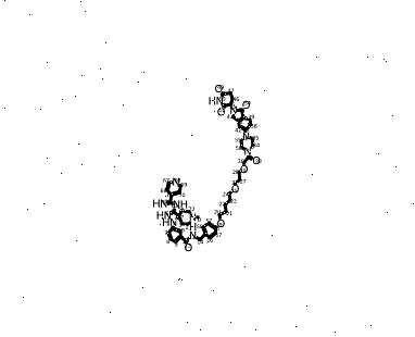 CN1CCC(Nc2cccc(C(=O)NCc3ccc(OCCCCCOCCCOCC(=O)N4CCN(c5ccc6c(c5)CN(C5CCC(=O)NC5=O)C6=O)CC4)cc3)c2)(C(=N)NC(=N)c2ccncc2)CC1